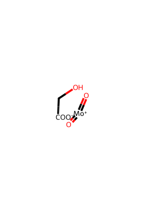 O=C([O-])CO.[O]=[Mo+]=[O]